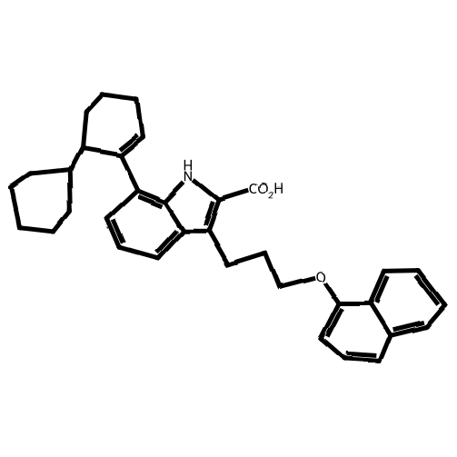 O=C(O)c1[nH]c2c(C3=CCCCC3C3CCCCC3)cccc2c1CCCOc1cccc2ccccc12